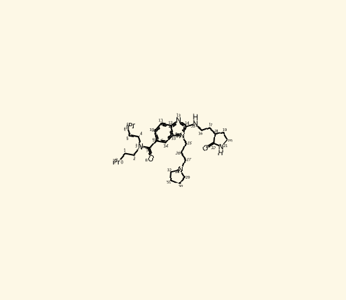 CC(C)CCN(CCC(C)C)C(=O)c1ccc2nc(NCCC3CCNC3=O)n(CCCN3CCCC3)c2c1